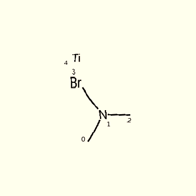 CN(C)Br.[Ti]